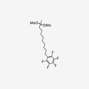 CO[Si](C)(CCCCCCCCCc1c(F)c(F)c(F)c(F)c1F)OC